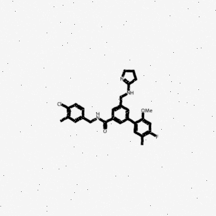 COc1cc(F)c(C)cc1-c1cc(CNC2=NCCC2)cc(C(=O)NCc2ccc(Cl)c(C)c2)c1